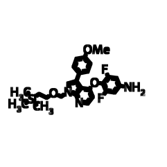 COc1ccc(-c2cn(COCC[Si](C)(C)C)c3nccc(Oc4c(F)cc(N)cc4F)c23)cc1